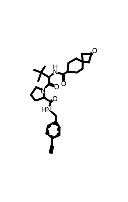 C#Cc1ccc(CNC(=O)C2CCCN2C(=O)C(NC(=O)C2CCC3(CC2)CC(=O)C3)C(C)(C)C)cc1